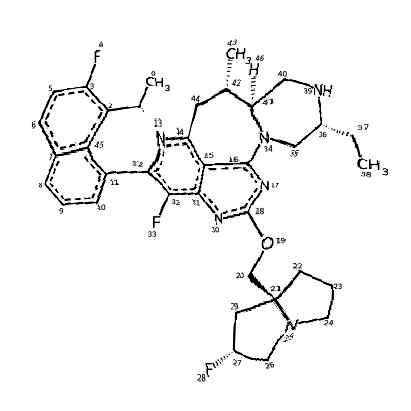 CCc1c(F)ccc2cccc(-c3nc4c5c(nc(OC[C@@]67CCCN6C[C@H](F)C7)nc5c3F)N3C[C@@H](CC)NC[C@@H]3[C@@H](C)C4)c12